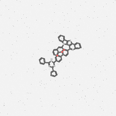 c1ccc(C2=NC(c3ccc(-c4ccc(-c5nc6ccccc6c6sc7c8ccccc8n(-c8ccc9ccccc9c8)c7c56)cc4)cc3)NC(c3ccccc3)=N2)cc1